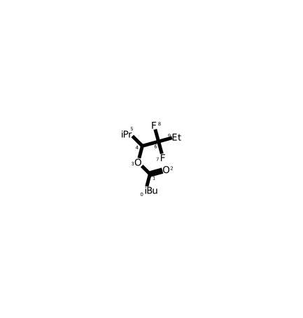 CCC(C)C(=O)OC(C(C)C)C(F)(F)CC